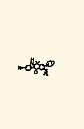 CN(C)Sc1cc2c(cc1N1CCOCC1)C(C)(C)c1[nH]c3cc(C#N)ccc3c1C2=O